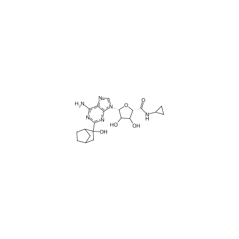 Nc1nc(C2(O)CC3CCC2C3)nc2c1ncn2[C@@H]1O[C@H](C(=O)NC2CC2)C(O)C1O